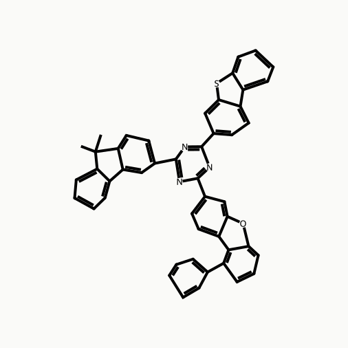 CC1(C)c2ccccc2-c2cc(-c3nc(-c4ccc5c(c4)oc4cccc(-c6ccccc6)c45)nc(-c4ccc5c(c4)sc4ccccc45)n3)ccc21